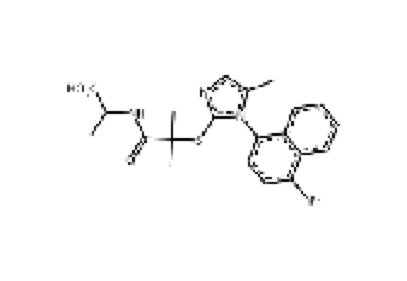 Cc1cnc(SC(C)(C)C(=O)NC(C)C(=O)O)n1-c1ccc(C(C)C)c2ccccc12